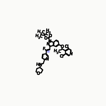 CC(Oc1ccc2c(c1)c(/C=C(\F)c1ccc(CNC3CCOCC3)nc1)nn2C(=O)OC(C)(C)C)c1c(Cl)cncc1Cl